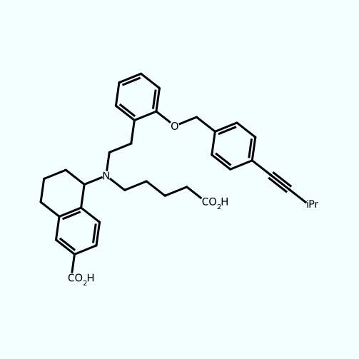 CC(C)C#Cc1ccc(COc2ccccc2CCN(CCCCC(=O)O)C2CCCc3cc(C(=O)O)ccc32)cc1